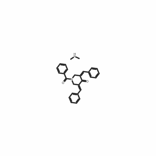 CNC.O=C1C(=Cc2ccccc2)CN(C(=O)c2ccccc2)CC1=Cc1ccccc1